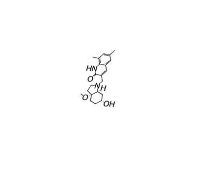 CO[C@@]12CC[C@@H](O)C[C@@H]1N(Cc1cc3cc(C)cc(C)c3[nH]c1=O)CC2